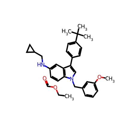 CCOC=O.COc1cccc(Cn2cc(-c3ccc(C(C)(C)C)cc3)c3cc(NCC4CC4)ccc32)c1